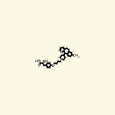 Cc1ccc2c(c1)CCc1cccnc1C2=C1CCN(CCCCOc2ccc(C[C@H](N)C(=O)O)cc2)CC1